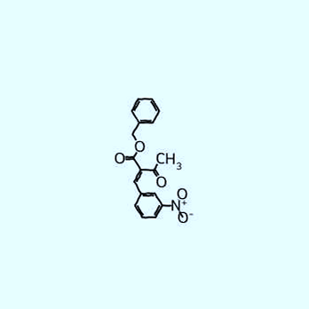 CC(=O)/C(=C\c1cccc([N+](=O)[O-])c1)C(=O)OCc1ccccc1